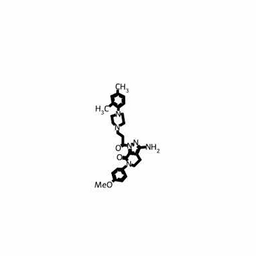 COc1ccc(N2CCc3c(N)nn(C(=O)CCN4CCN(c5ccc(C)cc5C)CC4)c3C2=O)cc1